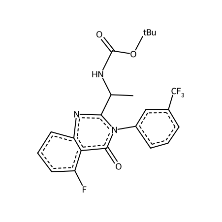 CC(NC(=O)OC(C)(C)C)c1nc2cccc(F)c2c(=O)n1-c1cccc(C(F)(F)F)c1